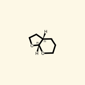 [CH]1CCO[C@@H]2OCC[C@H]12